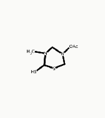 CC(=O)ON1CSC(S)N(C)C1